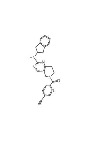 C#Cc1ccc(C(=O)N2CCc3nc(NC4Cc5ccccc5C4)ncc3C2)nc1